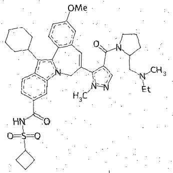 CCN(C)CC1CCCN1C(=O)c1cnn(C)c1C1=Cc2cc(OC)ccc2-c2c(C3CCCCC3)c3ccc(C(=O)NS(=O)(=O)C4CCC4)cc3n2C1